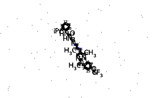 CC(/C=N/SNC(=O)Nc1ccccc1C(C)C)=C\c1cnc(N(C)c2ccc(OC(F)(F)F)cc2)nc1C